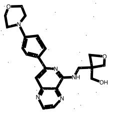 OCC1(CNc2nc(-c3ccc(N4CCOCC4)cc3)cc3nccnc23)COC1